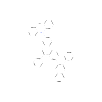 c1ccc(-c2cc3ccccc3cc2-c2ccc3c(c2)c(-c2ccccc2)cc2cc(N4c5ccccc5Cc5ccccc54)ccc23)cc1